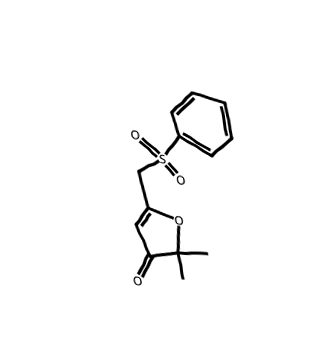 CC1(C)OC(CS(=O)(=O)c2ccccc2)=CC1=O